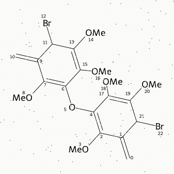 C=C1C(OC)=C(OC2=C(OC)C(=C)C(Br)C(OC)=C2OC)C(OC)=C(OC)C1Br